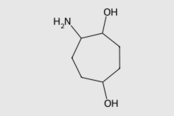 NC1CCC(O)CCC1O